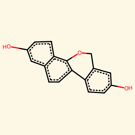 Oc1ccc2c(c1)COc1c-2ccc2cc(O)ccc12